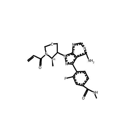 C=CC(=O)N1CCCC(n2nc(-c3ccc(C(=O)NC)cc3F)c3c(N)ncnc32)[C@H]1C